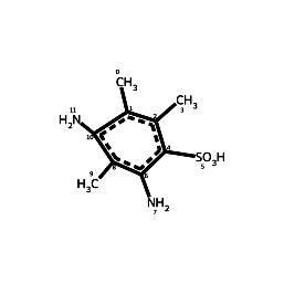 Cc1c(C)c(S(=O)(=O)O)c(N)c(C)c1N